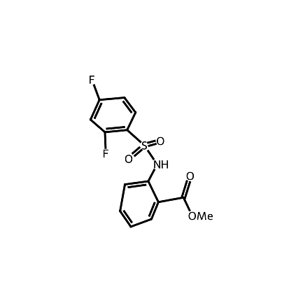 COC(=O)c1ccccc1NS(=O)(=O)c1ccc(F)cc1F